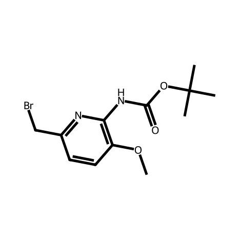 COc1ccc(CBr)nc1NC(=O)OC(C)(C)C